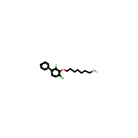 CCCCCCCCOc1c(Br)ccc(-c2ccccc2)c1F